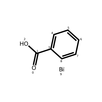 O=C(O)c1ccccc1.[Bi]